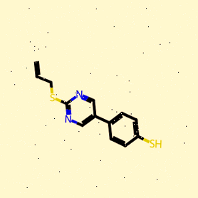 C=CCSc1ncc(-c2ccc(S)cc2)cn1